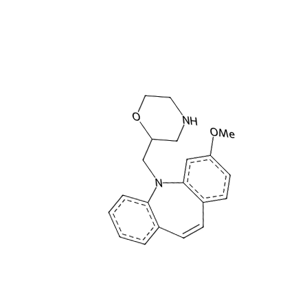 COc1ccc2c(c1)N(CC1CNCCO1)c1ccccc1C=C2